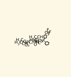 CC(C)(C)OC(=O)N1CCC(NC(=O)N2CCN(C(c3ccccc3)c3ccc(OC(F)(F)F)cc3)C[C@@H]2C(C)(C)C)CC1